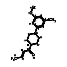 CCOc1cc(C)cc(N2CCN(C(=O)/C=C/C(F)(F)F)CC2)n1